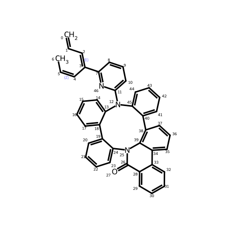 C=C/C=C(\C=C/C)c1cccc(N2c3ccccc3-c3ccccc3-n3c(=O)c4ccccc4c4cccc(c43)-c3ccccc32)n1